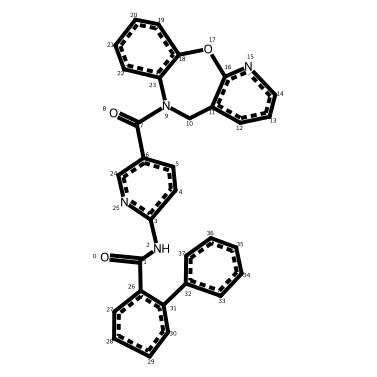 O=C(Nc1ccc(C(=O)N2Cc3cccnc3Oc3ccccc32)cn1)c1ccccc1-c1ccccc1